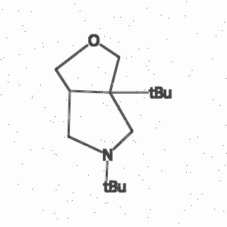 CC(C)(C)N1CC2COCC2(C(C)(C)C)C1